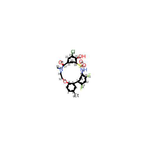 CCc1ccc2c(c1)-c1cc(c(F)cc1F)NS(=O)(=O)c1cc(cc(Cl)c1O)C(=O)N(C)CCO2